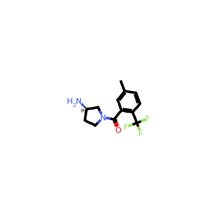 Cc1ccc(C(F)(F)F)c(C(=O)N2CC[C@@H](N)C2)c1